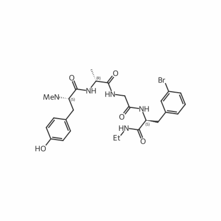 CCNC(=O)[C@H](Cc1cccc(Br)c1)NC(=O)CNC(=O)[C@@H](C)NC(=O)[C@H](Cc1ccc(O)cc1)NC